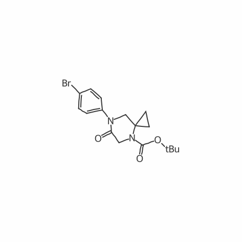 CC(C)(C)OC(=O)N1CC(=O)N(c2ccc(Br)cc2)CC12CC2